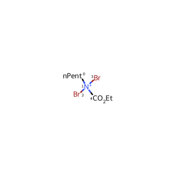 CCCCC[N+](Br)(Br)C(=O)OCC